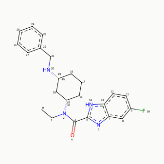 CCN(C(=O)c1nc2cc(F)ccc2[nH]1)[C@H]1CCC[C@@H](NCc2ccccc2)C1